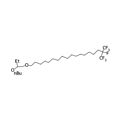 CCCCOC(CC)COCCCCCCCCCCCCCCCCC(F)(C(F)(F)F)C(F)(F)F